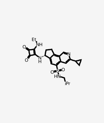 CCNc1c(N[C@@H]2CCc3c2cc(S(=O)(=O)NCC(C)C)c2cc(C4CC4)ncc32)c(=O)c1=O